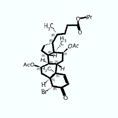 CC(=O)O[C@H]1C[C@H]2[C@@H]([C@H](OC(C)=O)C[C@@H]3[C@@H](Br)C(=O)C=C[C@@]32C)[C@@H]2CC[C@H]([C@H](C)CCC(=O)OC(C)C)[C@@]12C